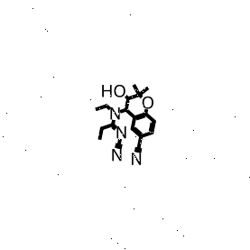 CCC(=NC#N)N(CC)C1c2cc(C#N)ccc2OC(C)(C)C1O